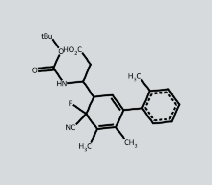 CC1=C(C)C(F)(C#N)C(C(CC(=O)O)NC(=O)OC(C)(C)C)C=C1c1ccccc1C